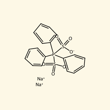 O=S(=O)([O-])P(c1ccccc1)(c1ccccc1)(c1ccccc1)S(=O)(=O)[O-].[Na+].[Na+]